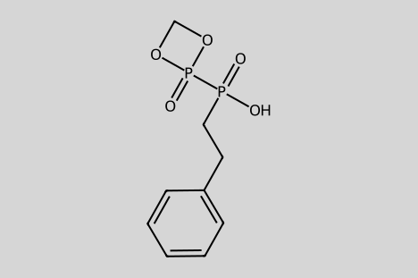 O=P(O)(CCc1ccccc1)P1(=O)OCO1